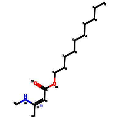 CCCCCCCCCCOC(=O)/C=C(/C)NC